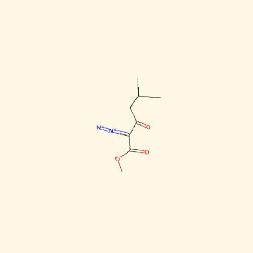 COC(=O)C(=[N+]=[N-])C(=O)CC(C)C